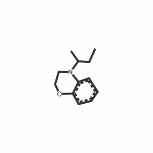 CCC(C)N1CCOc2ccccc21